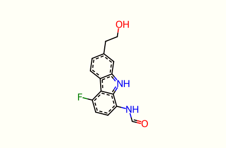 O=CNc1ccc(F)c2c1[nH]c1cc(CCO)ccc12